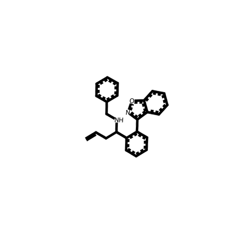 C=CCC(NCc1ccccc1)c1ccccc1-c1noc2ccccc12